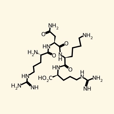 N=C(N)NCCC[C@H](NC(=O)[C@H](CCCCN)NC(=O)[C@H](CC(N)=O)NC(=O)[C@@H](N)CCCNC(=N)N)C(=O)O